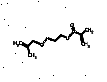 C=C(C)COCCCOC(=O)C(=C)C